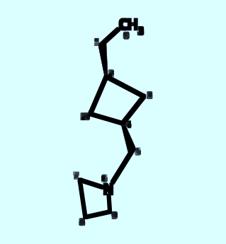 CC[C@H]1C[C@@H](CN2CCC2)C1